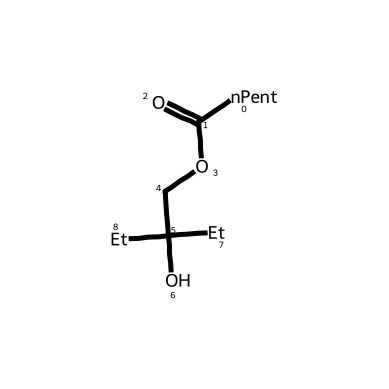 CCCCCC(=O)OCC(O)(CC)CC